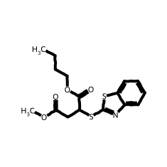 CCCCOC(=O)C(CC(=O)OC)Sc1nc2ccccc2s1